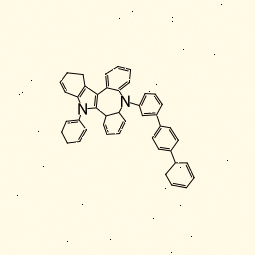 C1=CCC(c2ccc(-c3cccc(N4c5ccccc5-c5c6c(n(C7=CCCC=C7)c5C5C=CC=CC54)C=CCC6)c3)cc2)C=C1